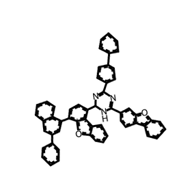 c1ccc(-c2ccc(C3=NC(c4ccc(-c5cc(-c6ccccc6)cc6ccccc56)c5oc6ccccc6c45)NC(c4ccc5c(c4)oc4ccccc45)=N3)cc2)cc1